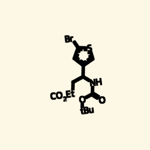 CCOC(=O)CC(NC(=O)OC(C)(C)C)c1csc(Br)c1